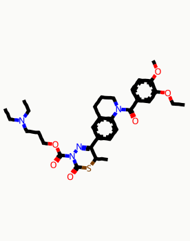 CCOc1cc(C(=O)N2CCCc3cc(C4=NN(C(=O)OCCCN(CC)CC)C(=O)SC4C)ccc32)ccc1OC